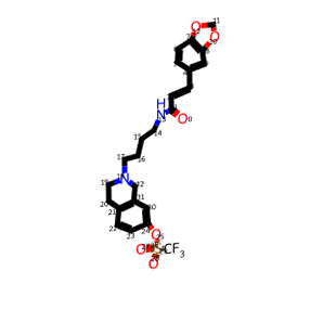 O=C(C=Cc1ccc2c(c1)OCO2)NCCCCN1CCc2ccc(OS(=O)(=O)C(F)(F)F)cc2C1